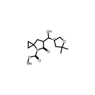 CC(C)(C)OC(=O)N1C(=O)C(C(O)[C@H]2COC(C)(C)C2)CC12CC2